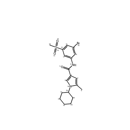 Cc1cc(C(=O)Nc2cc(Br)cc(S(C)(=O)=O)c2)cn1C1CCCCC1